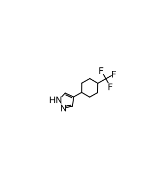 FC(F)(F)C1CCC(c2cn[nH]c2)CC1